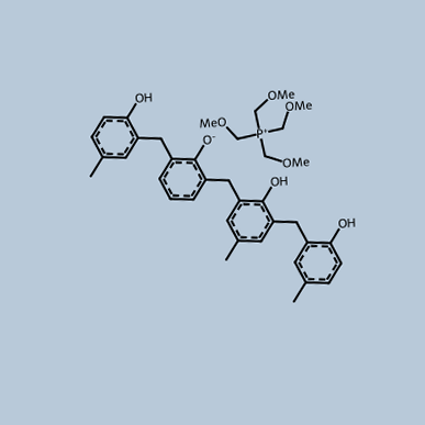 COC[P+](COC)(COC)COC.Cc1ccc(O)c(Cc2cccc(Cc3cc(C)cc(Cc4cc(C)ccc4O)c3O)c2[O-])c1